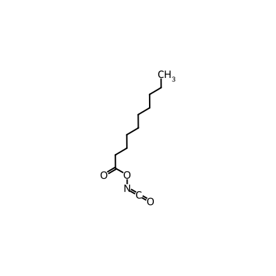 CCCCCCCCCC(=O)ON=C=O